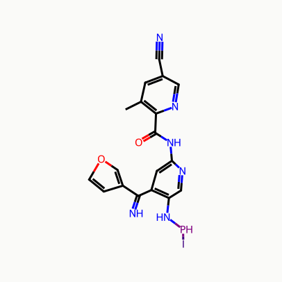 Cc1cc(C#N)cnc1C(=O)Nc1cc(C(=N)c2ccoc2)c(NPI)cn1